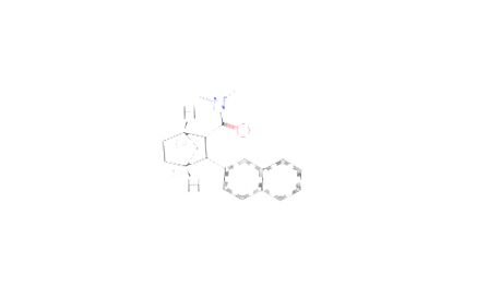 CN(C)C(=O)C1C(c2ccc3ccccc3c2)[C@@H]2CC[C@H]1C2